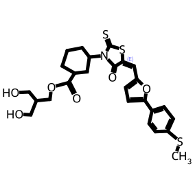 CSc1ccc(-c2ccc(/C=C3/SC(=S)N(C4CCCC(C(=O)OCC(CO)CO)C4)C3=O)o2)cc1